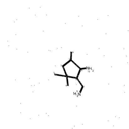 CC1CC(C)(C)C(CN)C1N